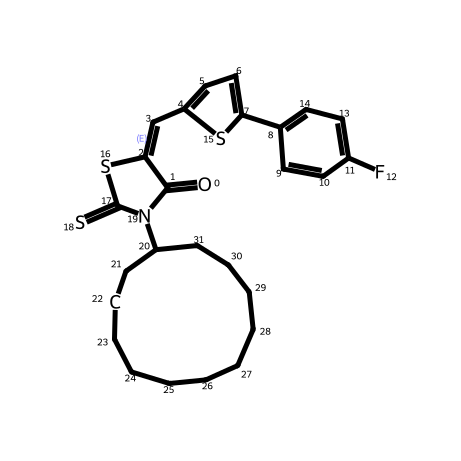 O=C1/C(=C\c2ccc(-c3ccc(F)cc3)s2)SC(=S)N1C1CCCCCCCCCCC1